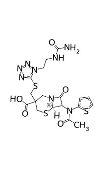 CC(=O)N(c1cccs1)C1C(=O)N2CC(CSc3nnnn3CCNC(N)=O)(C(=O)O)CS[C@H]12